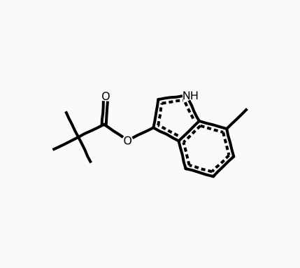 Cc1cccc2c(OC(=O)C(C)(C)C)c[nH]c12